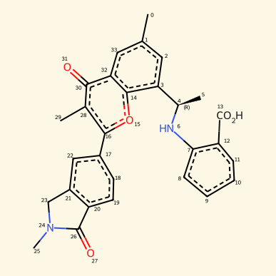 Cc1cc([C@@H](C)Nc2ccccc2C(=O)O)c2oc(-c3ccc4c(c3)CN(C)C4=O)c(C)c(=O)c2c1